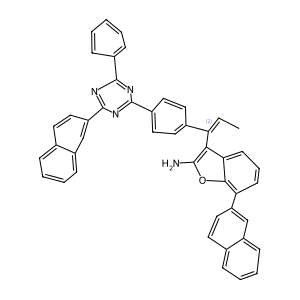 C/C=C(/c1ccc(-c2nc(-c3ccccc3)nc(-c3ccc4ccccc4c3)n2)cc1)c1c(N)oc2c(-c3ccc4ccccc4c3)cccc12